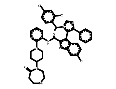 CC(c1ccc(Cl)cc1Cl)n1cnc(-c2ccccc2)c1-c1c(C(=O)Nc2cccnc2N2CCC(N3CCNCCC3=O)CC2)[nH]c2cc(Cl)ccc12